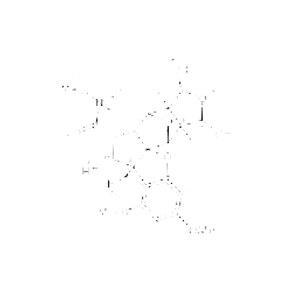 COc1cc(OC)c2c(c1)OC13C(C4OC1C1(C)C(O)OC(O)C41C)[C@@H](C(=O)N(C)OC)[C@@H](O)[C@@]23O